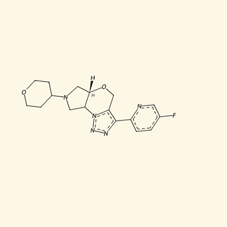 Fc1ccc(-c2nnn3c2CO[C@H]2CN(C4CCOCC4)CC23)nc1